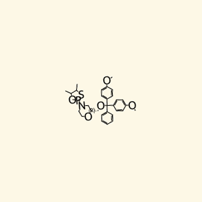 COc1ccc(C(OC[C@H]2CN(P3OC(C)C(C)S3)CCO2)(c2ccccc2)c2ccc(OC)cc2)cc1